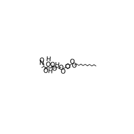 CCCCCCCCCCOC(=O)c1ccc(C(=O)OCCO[C@@H](O)CC(O)[C@H](O)C(C)CN=O)cc1